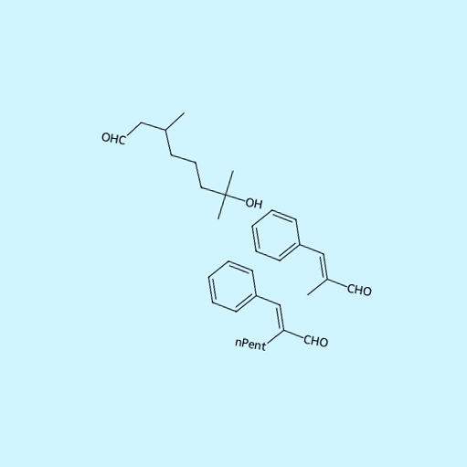 C/C(C=O)=C\c1ccccc1.CC(CC=O)CCCC(C)(C)O.CCCCC/C(C=O)=C\c1ccccc1